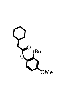 COc1ccc(OC(=O)CC2CCCCC2)c(C(C)(C)C)c1